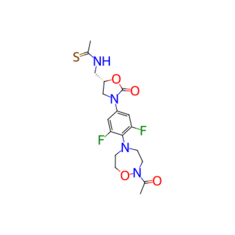 CC(=O)N1CCN(c2c(F)cc(N3C[C@H](CNC(C)=S)OC3=O)cc2F)CCO1